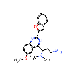 COc1ccc2nc(-c3cc4ccccc4o3)nc(C(CCN)N(C)C)c2c1